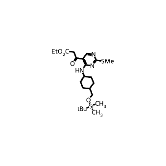 CCOC(=O)CC(=O)c1cnc(SC)nc1NC1CCC(CO[Si](C)(C)C(C)(C)C)CC1